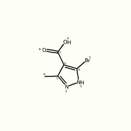 Cc1n[nH]c(Br)c1C(=O)O